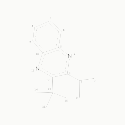 CC(C)c1nc2ccccc2nc1C(C)(C)C